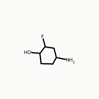 NC1CCC(O)C(F)C1